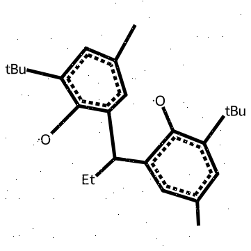 CCC(c1cc(C)cc(C(C)(C)C)c1[O])c1cc(C)cc(C(C)(C)C)c1[O]